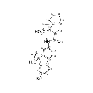 CC1(C)c2cc(Br)ccc2-c2ccc(NC(=O)C3CC4CCCC[C@@H]4N3C(=O)O)cc21